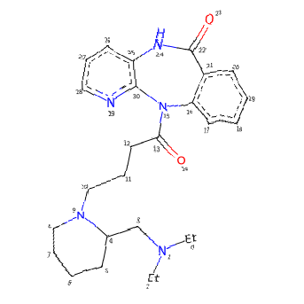 CCN(CC)CC1CCCCN1CCCC(=O)N1c2ccccc2C(=O)Nc2cccnc21